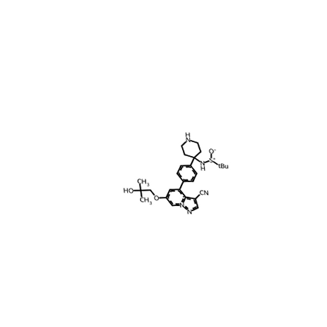 CC(C)(O)COc1cc(-c2ccc(C3(N[S+]([O-])C(C)(C)C)CCNCC3)cc2)c2c(C#N)cnn2c1